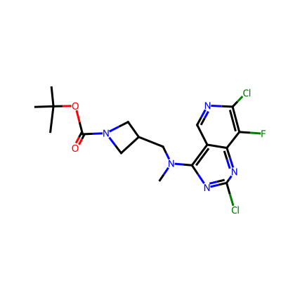 CN(CC1CN(C(=O)OC(C)(C)C)C1)c1nc(Cl)nc2c(F)c(Cl)ncc12